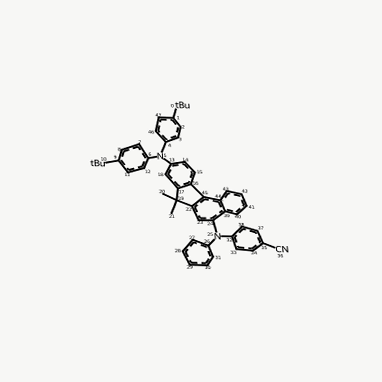 CC(C)(C)c1ccc(N(c2ccc(C(C)(C)C)cc2)c2ccc3c(c2)C(C)(C)c2cc(N(c4ccccc4)c4ccc(C#N)cc4)c4ccccc4c2-3)cc1